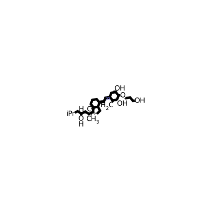 C=C1/C(=C\C=C2CCC[C@@]3(C)C2CC[C@@H]3[C@H](C)CC(O)CC(C)C)C[C@@H](O)C(OCCCO)C1O